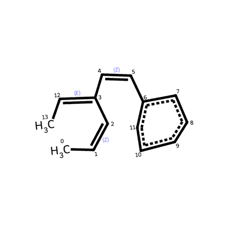 C\C=C/C(/C=C\c1ccccc1)=C\C